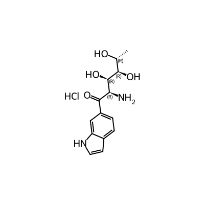 C[C@@H](O)[C@@H](O)[C@H](O)[C@@H](N)C(=O)c1ccc2cc[nH]c2c1.Cl